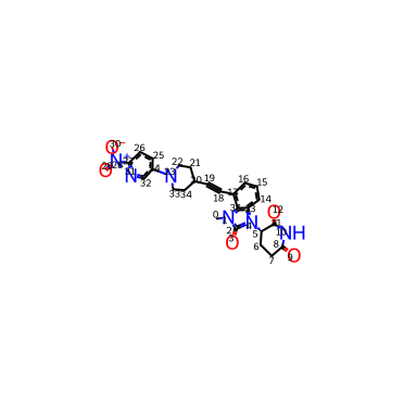 Cn1c(=O)n([C@@H]2CCC(=O)NC2=O)c2cccc(C#CC3CCN(c4ccc([N+](=O)[O-])nc4)CC3)c21